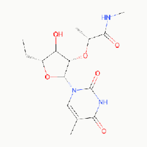 CC[C@H]1O[C@@H](n2cc(C)c(=O)[nH]c2=O)[C@@H](O[C@H](C)C(=O)NC)C1O